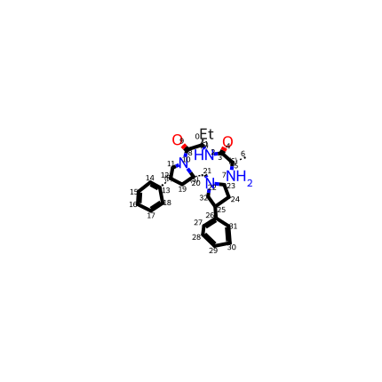 CC[C@H](NC(=O)[C@H](C)N)C(=O)N1C[C@@H](c2ccccc2)C[C@H]1CN1CCC(c2ccccc2)C1